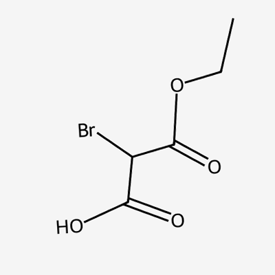 CCOC(=O)C(Br)C(=O)O